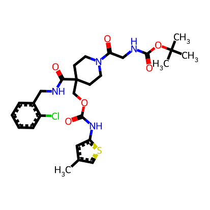 Cc1csc(NC(=O)OCC2(C(=O)NCc3ccccc3Cl)CCN(C(=O)CNC(=O)OC(C)(C)C)CC2)c1